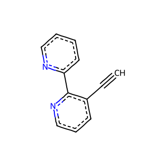 C#Cc1cccnc1-c1ccccn1